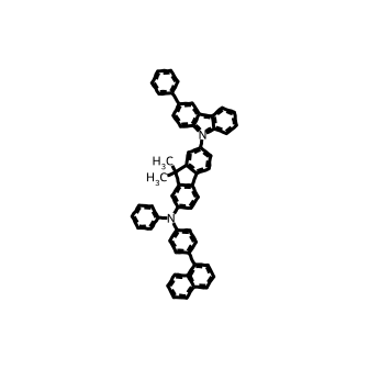 CC1(C)c2cc(N(c3ccccc3)c3ccc(-c4cccc5ccccc45)cc3)ccc2-c2ccc(-n3c4ccccc4c4cc(-c5ccccc5)ccc43)cc21